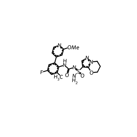 COc1cc(-c2cc(F)cc(C)c2NC(=O)N=[S@](N)(=O)c2cnn3c2OCCC3)ccn1